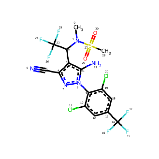 CN(C(c1c(C#N)nn(-c2c(Cl)cc(C(F)(F)F)cc2Cl)c1N)C(F)(F)F)S(C)(=O)=O